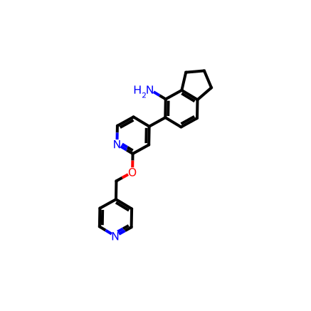 Nc1c(-c2ccnc(OCc3ccncc3)c2)ccc2c1CCC2